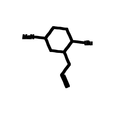 C=CCC1CC(NC)CCC1C(C)(C)C